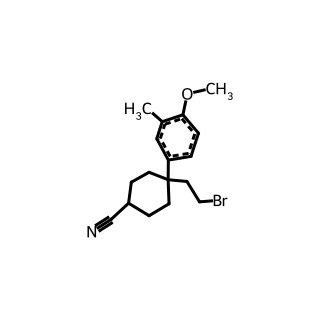 COc1ccc(C2(CCBr)CCC(C#N)CC2)cc1C